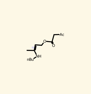 CCCCN/C(C)=C\COC(=O)CC(C)=O